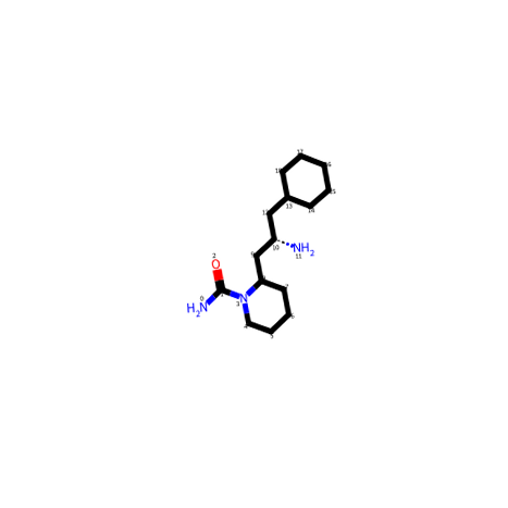 NC(=O)N1CCCCC1C[C@@H](N)CC1CCCCC1